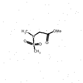 COC(=O)CN(C)S(C)(=O)=O